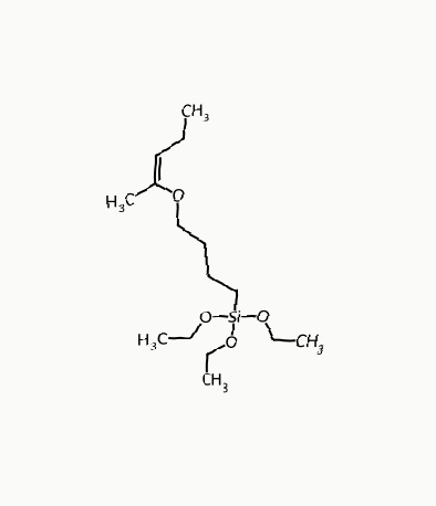 CCC=C(C)OCCCC[Si](OCC)(OCC)OCC